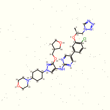 C[C@@H](Cn1cnnn1)Oc1cc(-c2cnc(Nc3cn(C4CCC(N5CCOCC5)CC4)nc3OCC3CCOC3)nc2)ccc1Cl